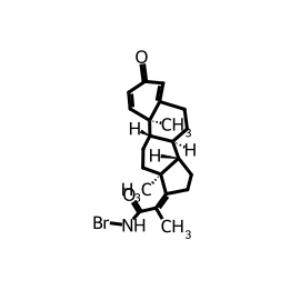 CC(C(=O)NBr)=C1CC[C@H]2[C@@H]3CCC4=CC(=O)C=C[C@]4(C)[C@H]3CC[C@]12C